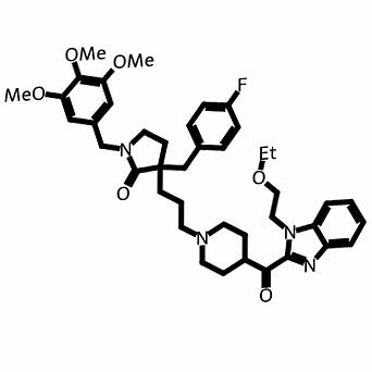 CCOCCn1c(C(=O)C2CCN(CCCC3(Cc4ccc(F)cc4)CCN(Cc4cc(OC)c(OC)c(OC)c4)C3=O)CC2)nc2ccccc21